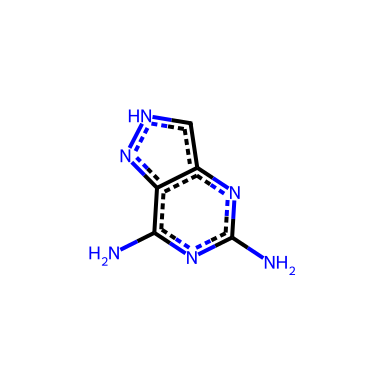 Nc1nc(N)c2n[nH]cc2n1